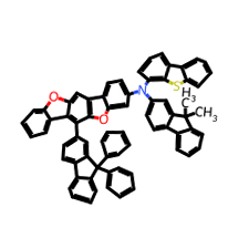 CC1(C)c2ccccc2-c2ccc(N(c3ccc4c(c3)oc3c(-c5ccc6c(c5)C(c5ccccc5)(c5ccccc5)c5ccccc5-6)c5c(cc34)oc3ccccc35)c3cccc4c3sc3ccccc34)cc21